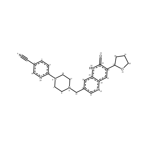 N#Cc1ccc(N2CCN(Cc3cnc4cc(C5CCCO5)c(=O)[nH]c4c3)CC2)nc1